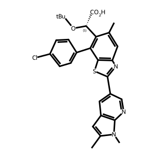 Cc1cc2nc(-c3cnc4c(c3)cc(C)n4C)sc2c(-c2ccc(Cl)cc2)c1[C@H](OC(C)(C)C)C(=O)O